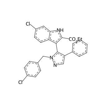 CCOC(=O)c1[nH]c2cc(Cl)ccc2c1-c1c(-c2ccccc2)cnn1Cc1ccc(Cl)cc1